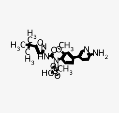 COc1cc(-c2ccc(N)nc2)ccc1NC(=O)Nc1cc(C(C)(C)C)on1.CS(=O)(=O)O